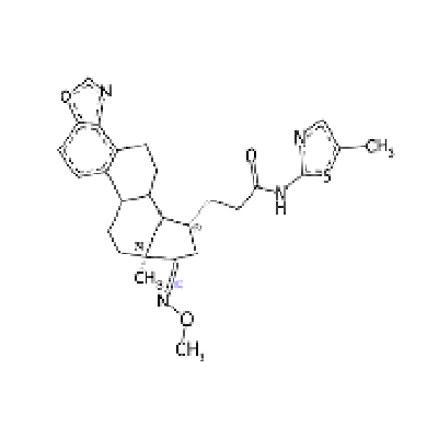 CO/N=C1\C[C@@H](CCC(=O)Nc2ncc(C)s2)C2C3CCc4c(ccc5ocnc45)C3CC[C@]12C